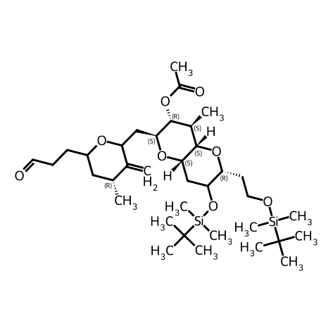 C=C1C(C[C@@H]2O[C@H]3CC(O[Si](C)(C)C(C)(C)C)[C@@H](CCO[Si](C)(C)C(C)(C)C)O[C@H]3[C@H](C)[C@H]2OC(C)=O)OC(CCC=O)C[C@H]1C